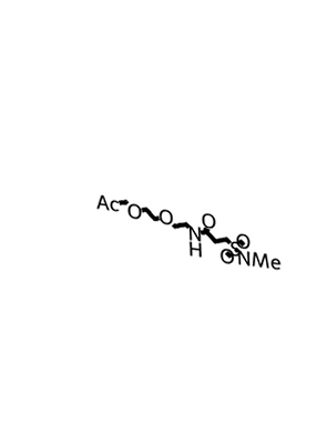 CNS(=O)(=O)CCC(=O)NCCOCCOCC(C)=O